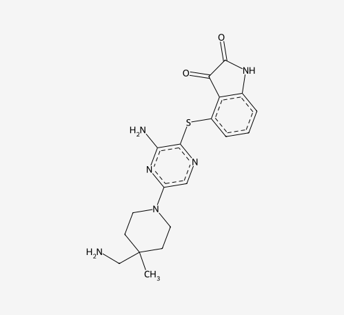 CC1(CN)CCN(c2cnc(Sc3cccc4c3C(=O)C(=O)N4)c(N)n2)CC1